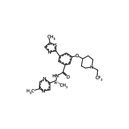 Cc1cnc([C@@H](C)NC(=O)c2cc(OC3CCN(CC(F)(F)F)CC3)cc(-c3ncc(C)s3)c2)cn1